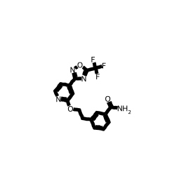 NC(=O)c1cccc(CCOc2cc(-c3noc(C(F)(F)F)n3)ccn2)c1